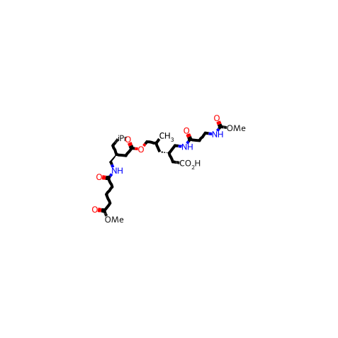 COC(=O)CCCC(=O)NC[C@H](CC(=O)OCC(C)C[C@H](CNC(=O)CCNC(=O)OC)CC(=O)O)CC(C)C